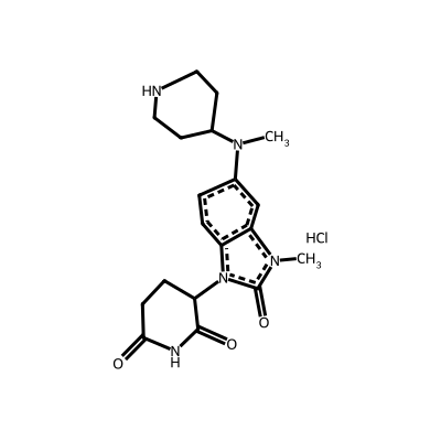 CN(c1ccc2c(c1)n(C)c(=O)n2C1CCC(=O)NC1=O)C1CCNCC1.Cl